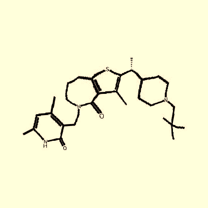 Cc1cc(C)c(CN2CCCc3sc([C@H](C)C4CCN(CC(C)(C)C)CC4)c(C)c3C2=O)c(=O)[nH]1